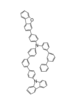 c1ccc(-c2cccc(-c3cccc(N(c4ccc(-c5cccc(-c6ccc(-n7c8ccccc8c8ccccc87)cc6)c5)cc4)c4ccc(-c5ccc6c(c5)oc5ccccc56)cc4)c3)c2)cc1